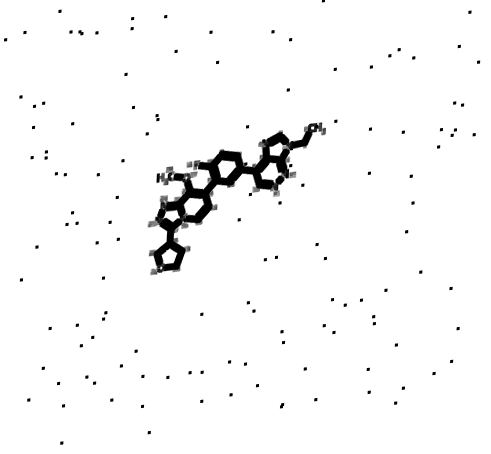 CCn1cnc2c(-c3ccc(F)c(-c4ccn5c(C6CCOC6)nnc5c4OC)c3)cnnc21